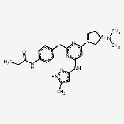 CCC(=O)Nc1ccc(Sc2nc(Nc3cc(C)[nH]n3)cc(N3CC[C@H](N(C)C)C3)n2)cc1